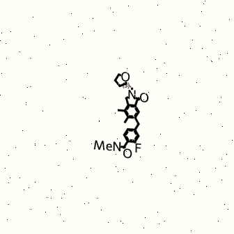 CNC(=O)c1ccc(Cc2cc3c(c(C)c2C)CN(C[C@@H]2CCCO2)C3=O)cc1F